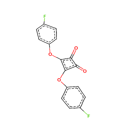 O=c1c(Oc2ccc(F)cc2)c(Oc2ccc(F)cc2)c1=O